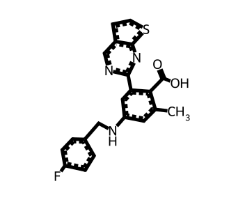 Cc1cc(NCc2ccc(F)cc2)cc(-c2ncc3ccsc3n2)c1C(=O)O